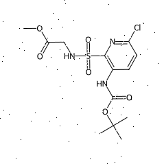 COC(=O)CNS(=O)(=O)c1nc(Cl)ccc1NC(=O)OC(C)(C)C